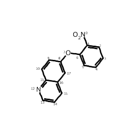 O=[N+]([O-])c1ccccc1Oc1ccc2ncccc2c1